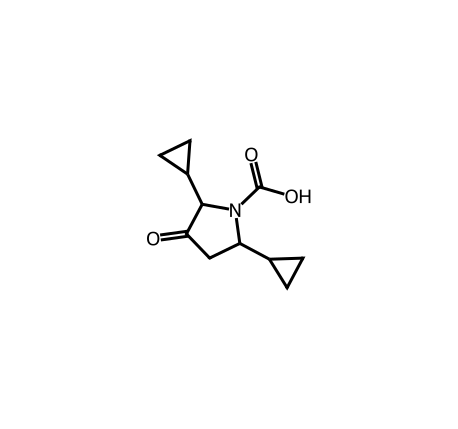 O=C1CC(C2CC2)N(C(=O)O)C1C1CC1